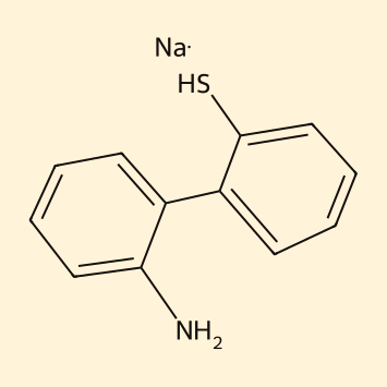 Nc1ccccc1-c1ccccc1S.[Na]